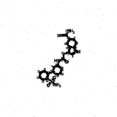 N=C(N)c1ccc2[nH]cc(CC(=O)Nc3cc(-c4ccccc4S(N)(=O)=O)ccn3)c2c1